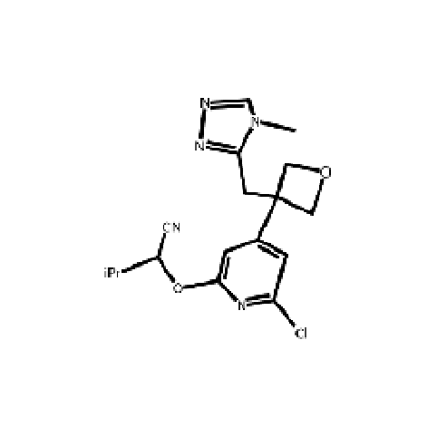 CC(C)C(C#N)Oc1cc(C2(Cc3nncn3C)COC2)cc(Cl)n1